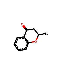 CCC1CC(=O)c2ccccc2O1